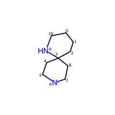 C1CCC2(CC[N]CC2)NC1